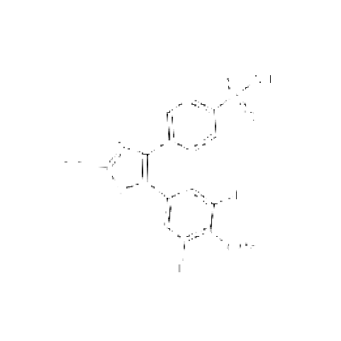 COc1c(F)cc(-c2oc(C(F)(F)F)nc2-c2ccc(S(N)(=O)=O)cc2)cc1Br